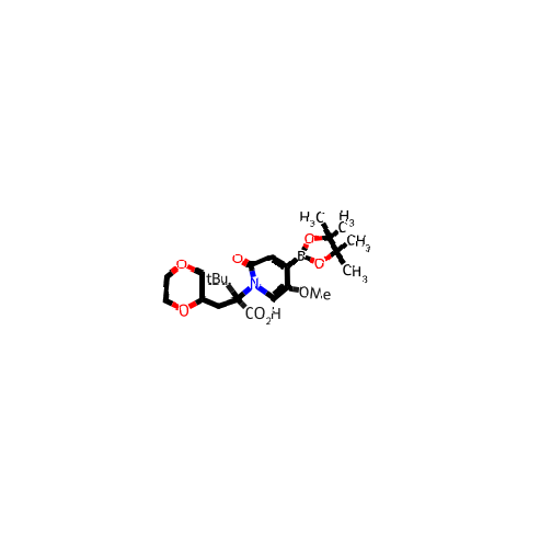 COc1cn(C(CC2COCCO2)(C(=O)O)C(C)(C)C)c(=O)cc1B1OC(C)(C)C(C)(C)O1